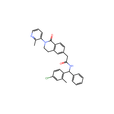 Cc1cc(Cl)ccc1C(NC(=O)Cc1ccc2c(c1)CCN(c1cccnc1C)C2=O)c1ccccc1